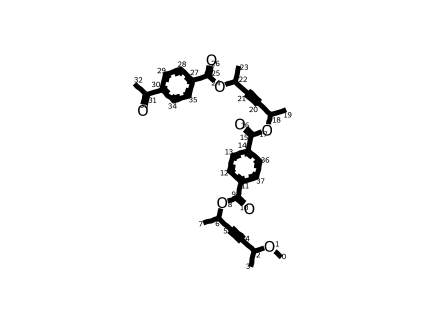 COC(C)C#CC(C)OC(=O)c1ccc(C(=O)OC(C)C#CC(C)OC(=O)c2ccc(C(C)=O)cc2)cc1